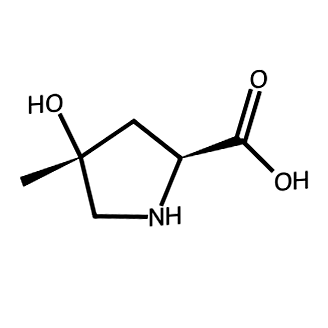 C[C@]1(O)CN[C@H](C(=O)O)C1